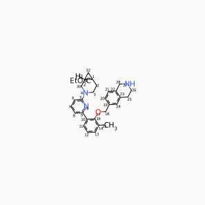 CCOC(=O)[C@@]12CCN(c3cccc(-c4cccc(C)c4OCc4ccc5c(c4)CCNC5)n3)C[C@@H]1C2